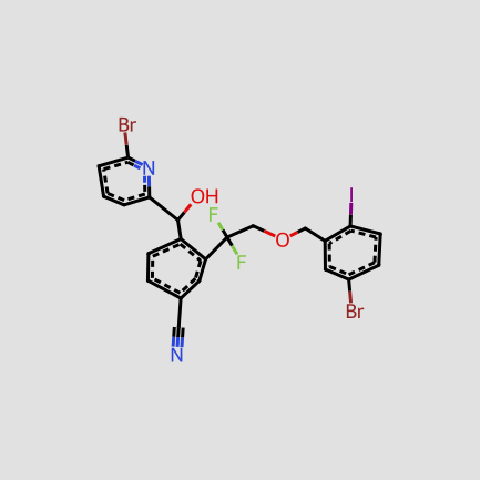 N#Cc1ccc(C(O)c2cccc(Br)n2)c(C(F)(F)COCc2cc(Br)ccc2I)c1